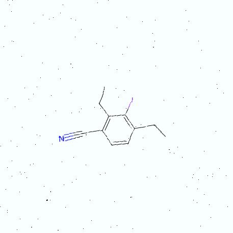 CCc1ccc(C#N)c(CC)c1I